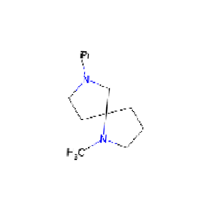 CC(C)N1CCC2(CCCN2C)C1